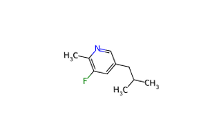 Cc1ncc(CC(C)C)cc1F